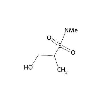 CNS(=O)(=O)C(C)CO